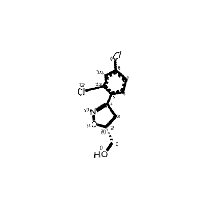 OC[C@H]1CC(c2ccc(Cl)cc2Cl)=NO1